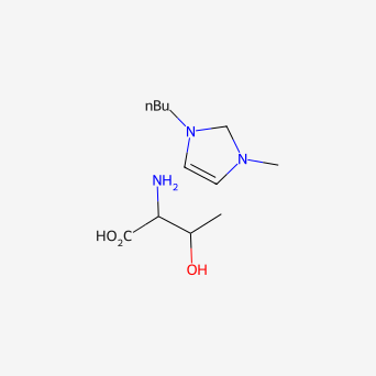 CC(O)C(N)C(=O)O.CCCCN1C=CN(C)C1